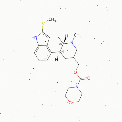 CSc1[nH]c2cccc3c2c1C[C@H]1[C@H]3CC(COC(=O)N2CCOCC2)CN1C